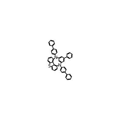 c1ccc(-c2ccc(N3c4cc(-c5ccccc5)cc(c4)N(c4ccc(-c5ccccc5)cc4)c4cccc5sc6cccc3c6c45)cc2)cc1